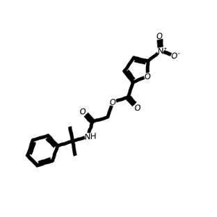 CC(C)(NC(=O)COC(=O)c1ccc([N+](=O)[O-])o1)c1ccccc1